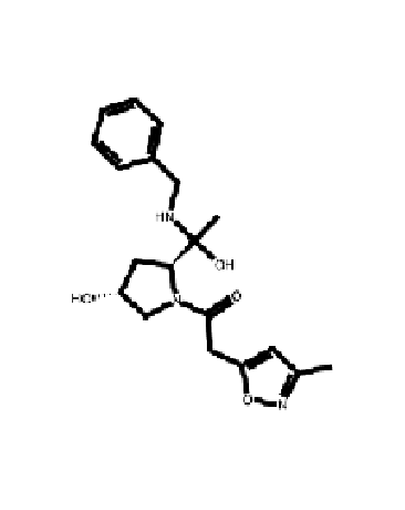 Cc1cc(CC(=O)N2C[C@H](O)C[C@H]2C(C)(O)NCc2ccccc2)on1